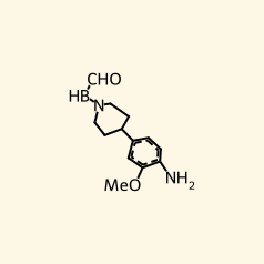 COc1cc(C2CCN(BC=O)CC2)ccc1N